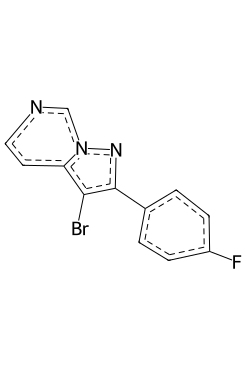 Fc1ccc(-c2nn3cnccc3c2Br)cc1